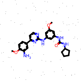 COc1cc(NC(=O)NC2CCCC2)cc(Nc2nccc(-c3ccc(OC)c(N)c3)n2)c1